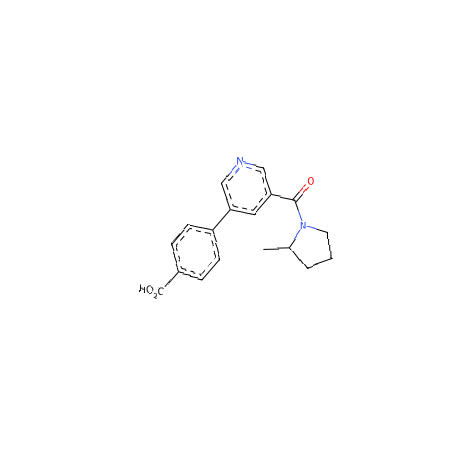 CC1CCCN1C(=O)c1cncc(-c2ccc(C(=O)O)cc2)c1